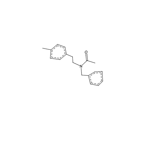 CC(=O)N(CCc1ccc(C)cc1)Cc1ccccc1